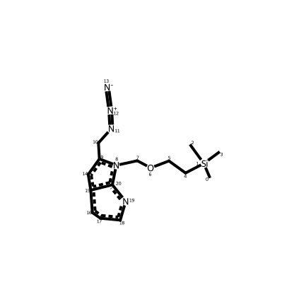 C[Si](C)(C)CCOCn1c(CN=[N+]=[N-])cc2cccnc21